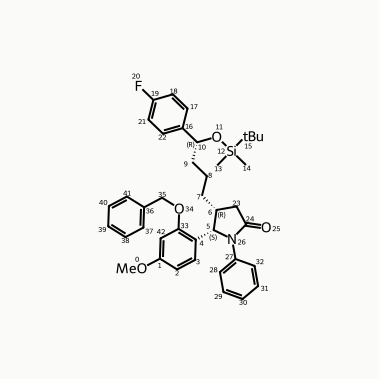 COc1ccc([C@@H]2[C@H](CCC[C@@H](O[Si](C)(C)C(C)(C)C)c3ccc(F)cc3)CC(=O)N2c2ccccc2)c(OCc2ccccc2)c1